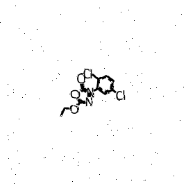 CCOc1nn(-c2cc(Cl)ccc2Cl)c(=O)o1